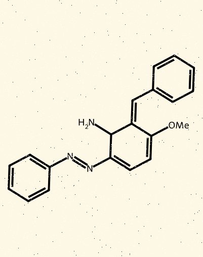 COC1=CC=C(N=Nc2ccccc2)C(N)C1=Cc1ccccc1